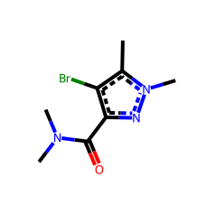 Cc1c(Br)c(C(=O)N(C)C)nn1C